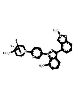 Cc1cccc2c(-c3cccc4nn(C)cc34)nn(-c3ccc(N4C[C@H]5CCC4C[C@H]5C(=O)O)nc3)c12